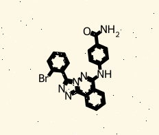 NC(=O)c1ccc(Nc2nn3c(-c4ccccc4Br)nnc3c3ccccc23)cc1